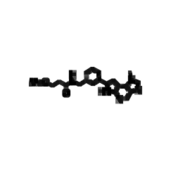 COCCC(=O)NCc1cccc(-c2cc3c(ncc4ncn(C)c43)[nH]2)c1